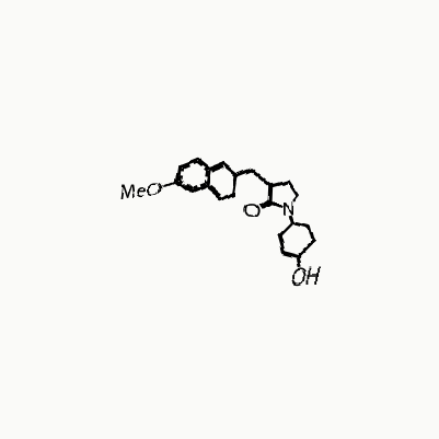 COc1ccc2c(c1)=CCC(CC1CCN(C3CCC(O)CC3)C1=O)C=2